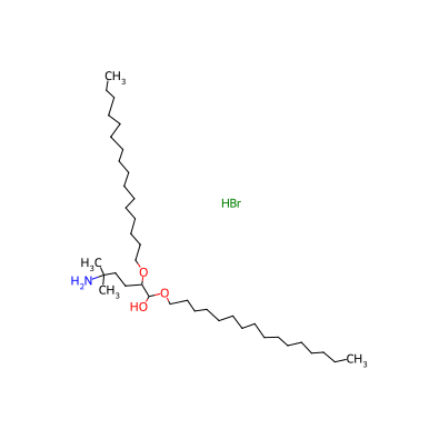 Br.CCCCCCCCCCCCCCCCOC(O)C(CCC(C)(C)N)OCCCCCCCCCCCCCCCC